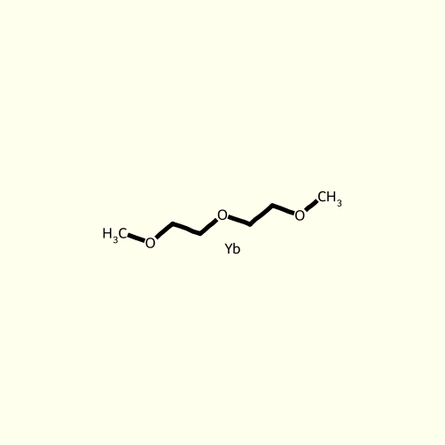 COCCOCCOC.[Yb]